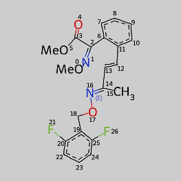 CON=C(C(=O)OC)c1ccccc1C=C/C(C)=N/OCc1c(F)cccc1F